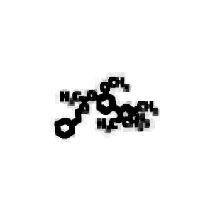 COc1cc(C(C=C(C)C)C(C)C)ccc1OC(C)OCCC1CCCCC1